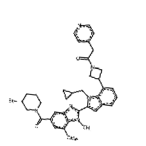 CC[C@@H]1CCCN(C(=O)c2cc(OC)c3c(c2)nc(-c2cc4cccc(C5CN(C(=O)Cc6ccncc6)C5)c4n2CC2CC2)n3C)C1